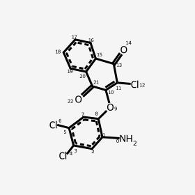 Nc1cc(Cl)c(Cl)cc1OC1=C(Cl)C(=O)c2ccccc2C1=O